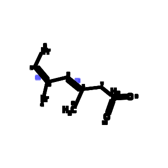 C/C(=C\C(Br)=C/C(C)C)C[SH](=O)=O